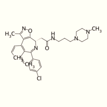 C/C=C\C1=C(/C=C\C)c2c(C)noc2[C@H](CC(=O)NCCCN2CCN(C)CC2)N=C1c1ccc(Cl)cc1